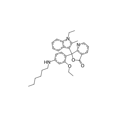 CCCCCCNc1ccc(C2(c3c(C)n(CC)c4ccccc34)OC(=O)c3cccnc32)c(OCC)c1